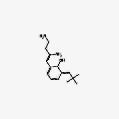 CC(C)(C)C=C1C=CC=C(C=C(N)CCN)C1O